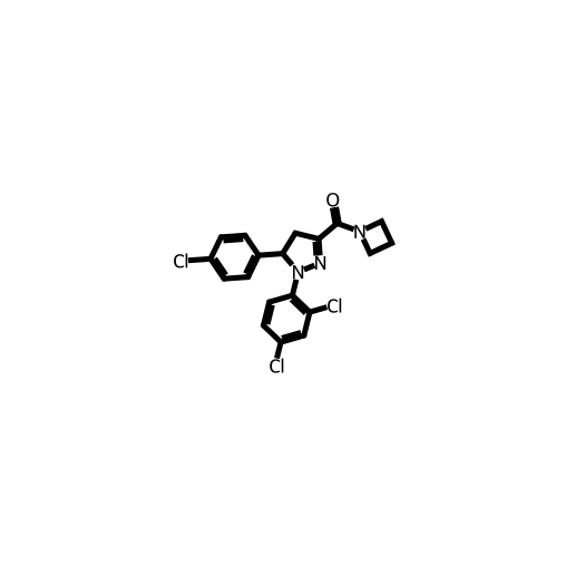 O=C(C1=NN(c2ccc(Cl)cc2Cl)C(c2ccc(Cl)cc2)C1)N1CCC1